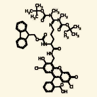 CN(C(=O)OC(C)(C)C)C(=NCCCC(NC(=O)OCC1c2ccccc2-c2ccccc21)C(=O)NCc1c(O)c(Cl)cc2c(-c3ccccc3C(=O)O)c3cc(Cl)c(=O)cc-3oc12)N(C)C(=O)OC(C)(C)C